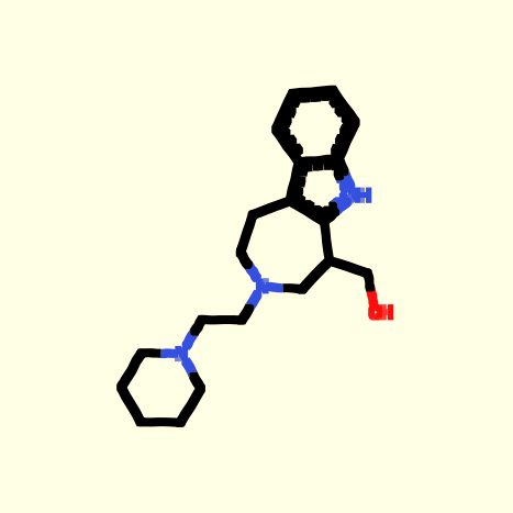 OCC1CN(CCN2CCCCC2)CCc2c1[nH]c1ccccc21